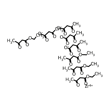 CC(=O)CC(=O)[O-].CC(=O)CC(=O)[O-].CC(=O)CC(=O)[O-].CC(=O)CC(=O)[O-].CCOC(=O)CC(C)=O.CCOC(=O)CC(C)=O.CCOC(=O)CC(C)=O.CCOC(=O)CC(C)=O.[Zr+4]